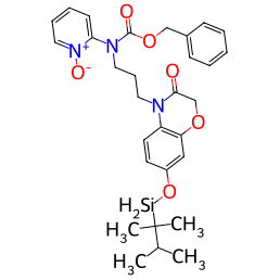 CC(C)C(C)(C)[SiH2]Oc1ccc2c(c1)OCC(=O)N2CCCN(C(=O)OCc1ccccc1)c1cccc[n+]1[O-]